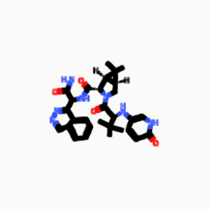 CC(C)(C)[C@H](Nc1ccc(=O)[nH]c1)C(=O)N1C[C@H]2[C@@H]([C@H]1C(=O)NC(C(N)=O)c1nncc3ccccc13)C2(C)C